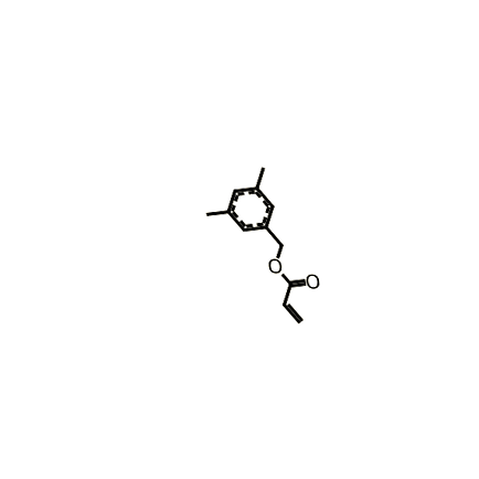 C=CC(=O)OCc1cc(C)cc(C)c1